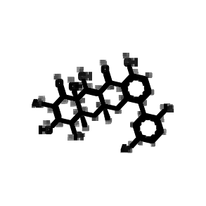 CCc1ccc(C(C)=O)cc1-c1ccc(O)c2c1C[C@]1(C)C[C@]3(C)C(C(C)C)C(O)=C(C(C)=O)C(=O)[C@]3(O)C(O)=C1C2=O